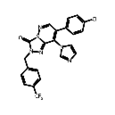 O=c1n(Cc2ccc(C(F)(F)F)cc2)nc2c(-n3ccnc3)c(-c3ccc(Cl)cc3)cnn12